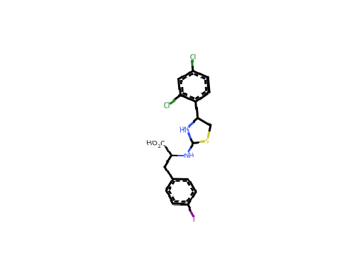 O=C(O)C(Cc1ccc(I)cc1)NC1NC(c2ccc(Cl)cc2Cl)CS1